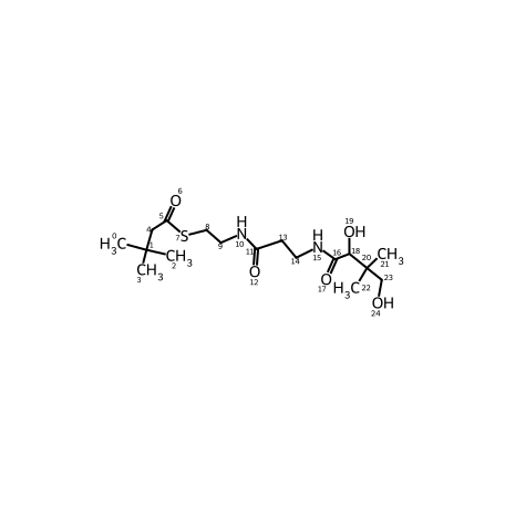 CC(C)(C)CC(=O)SCCNC(=O)CCNC(=O)C(O)C(C)(C)CO